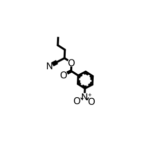 CCCC(C#N)OC(=O)c1cccc([N+](=O)[O-])c1